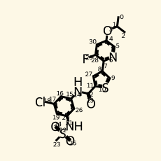 CC(C)Oc1cnc(-c2csc(C(=O)Nc3cc(Cl)cc(NS(C)(=O)=O)c3)c2)c(F)c1